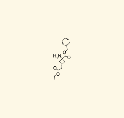 CCOC(=O)C=C1CC(N)(C(=O)OCc2ccccc2)C1